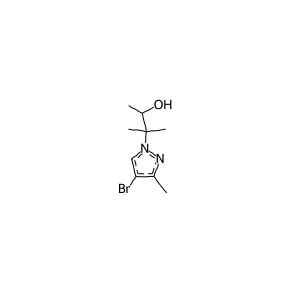 Cc1nn(C(C)(C)C(C)O)cc1Br